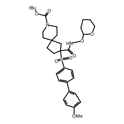 COc1ccc(-c2ccc(S(=O)(=O)C3(C(=O)NOC4CCCCO4)CCC4(CCN(C(=O)OC(C)(C)C)CC4)C3)cc2)cc1